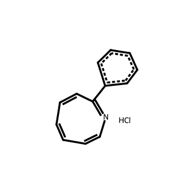 C1=CC=CC(c2ccccc2)=NC=C1.Cl